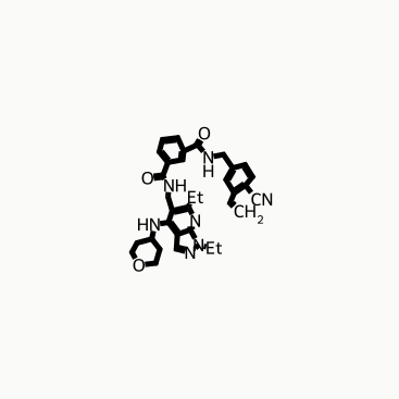 C=Cc1cc(CNC(=O)c2cccc(C(=O)NCc3c(CC)nc4c(cnn4CC)c3NC3CCOCC3)c2)ccc1C#N